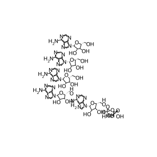 Nc1ncnc2c1ncn2[C@@H]1O[C@H](CO)[C@@H](O)[C@H]1O.Nc1ncnc2c1ncn2[C@@H]1O[C@H](CO)[C@@H](O)[C@H]1O.Nc1ncnc2c1ncn2[C@@H]1O[C@H](CO)[C@@H](O)[C@H]1O.Nc1ncnc2c1ncn2[C@@H]1O[C@H](CO)[C@@H](O)[C@H]1O.Nc1ncnc2c1ncn2[C@@H]1O[C@H](CO)[C@@H](O)[C@H]1O.O=P(O)(O)OP(=O)(O)O